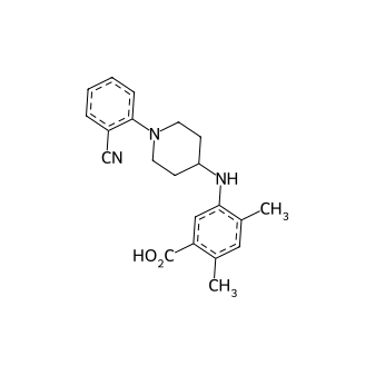 Cc1cc(C)c(C(=O)O)cc1NC1CCN(c2ccccc2C#N)CC1